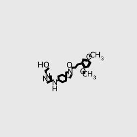 COc1ccc(OC)c(CCC(=O)N2CC[C@]3(CC[C@H](Nc4cnn(CCO)c4)CC3)C2)c1